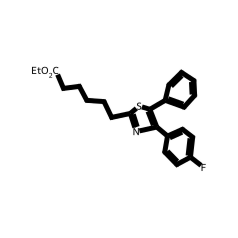 CCOC(=O)CCCCCc1nc(-c2ccc(F)cc2)c(-c2ccccc2)s1